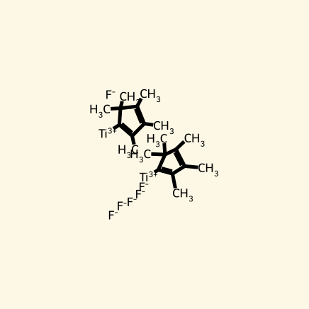 CC1=C(C)C(C)(C)[C]([Ti+3])=C1C.CC1=C(C)C(C)(C)[C]([Ti+3])=C1C.[F-].[F-].[F-].[F-].[F-].[F-]